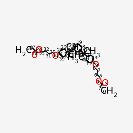 C=CC(=O)OCCCCOc1ccc(C(C)(C)c2cccc(C(C)(C)c3ccc(OCCCCOC(=O)C=C)cc3)c2)cc1